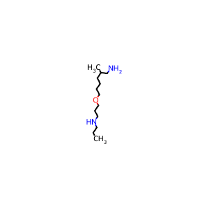 CCCNCCCOCCCCC(C)CN